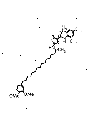 COc1ccc(CCCCCCCCCCCCCCC(C)Nc2nc(C)c(C(=O)Nc3c(C)cc(C)cc3C)s2)cc1OC